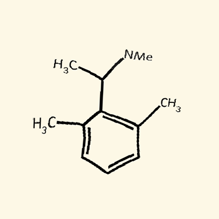 CNC(C)c1c(C)cccc1C